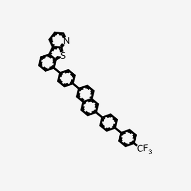 FC(F)(F)c1ccc(-c2ccc(-c3ccc4cc(-c5ccc(-c6cccc7c6sc6ncccc67)cc5)ccc4c3)cc2)cc1